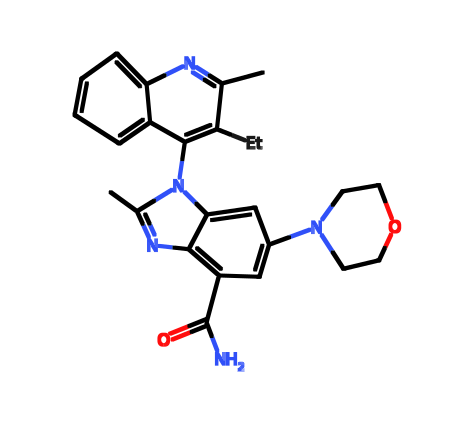 CCc1c(C)nc2ccccc2c1-n1c(C)nc2c(C(N)=O)cc(N3CCOCC3)cc21